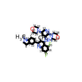 Cc1c(-c2ccc3c(ccn3C)c2)nc2cc(F)cc(F)c2c1Nc1cc(N2CCOCC2)cnc1N1CCOCC1